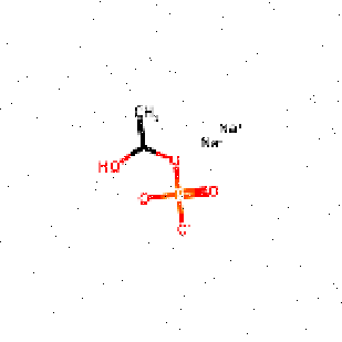 CC(O)OP(=O)([O-])[O-].[Na+].[Na+]